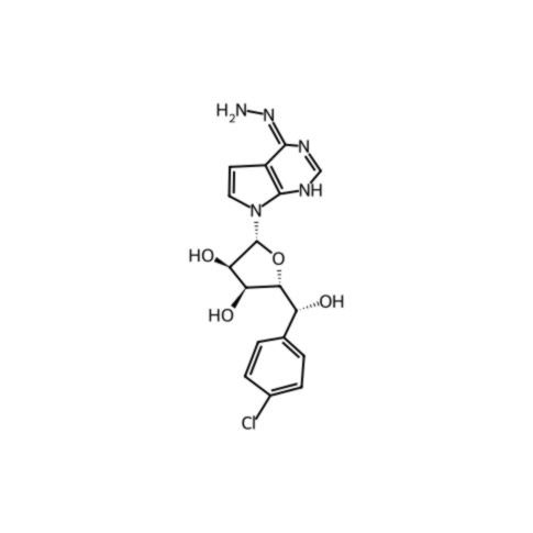 N/N=c1/nc[nH]c2c1ccn2[C@@H]1O[C@H]([C@H](O)c2ccc(Cl)cc2)[C@@H](O)[C@H]1O